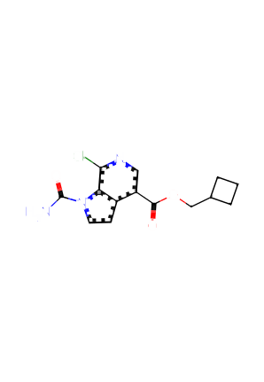 NC(=O)n1ccc2c(C(=O)OCC3CCC3)cnc(Cl)c21